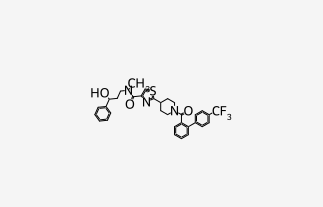 CN(CCC(O)c1ccccc1)C(=O)c1csc(C2CCN(C(=O)c3ccccc3-c3ccc(C(F)(F)F)cc3)CC2)n1